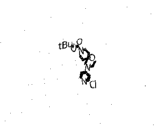 CC(C)(C)OC(=O)N1CCC2(CC1)CN(c1ccnc(Cl)c1)CCO2